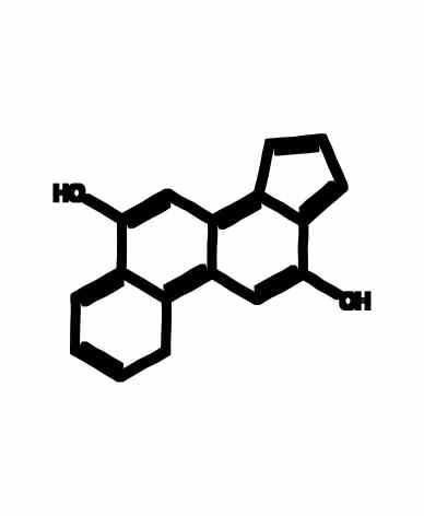 Oc1cc2c3c(c(O)cc2c2c1=CC=C2)=CC=CC3